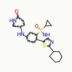 N=S(=O)(c1cc(Nc2ccc(=O)[nH]c2)ccc1-c1cnc(C2CCCCC2)s1)C1CC1